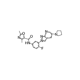 Cc1nc(C)c(C(=O)Nc2ccc(F)c(-n3cc4cc(N5CCCC5)cnc4n3)c2)o1